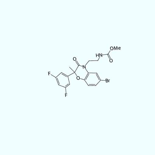 COC(=O)NCCN1C(=O)C(C)(c2cc(F)cc(F)c2)Oc2ccc(Br)cc21